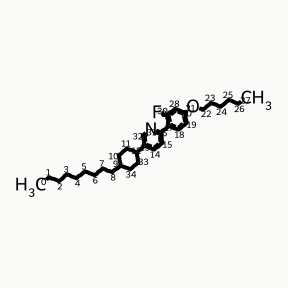 CCCCCCCCCC1CCC(c2ccc(-c3ccc(OCCCCCC)cc3F)nc2)CC1